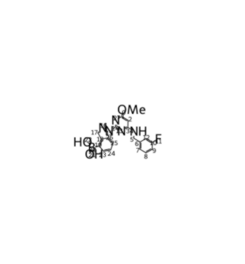 COc1cc(NCc2cccc(F)c2)nc(-n2ncc3c(B(O)O)cccc32)n1